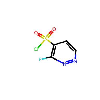 O=S(=O)(Cl)c1ccnnc1F